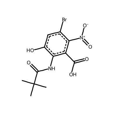 CC(C)(C)C(=O)Nc1c(O)cc(Br)c([N+](=O)[O-])c1C(=O)O